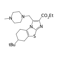 CCOC(=O)c1nc2sc3c(n2c1CN1CCN(C)CC1)CCC(C(C)(C)C)C3